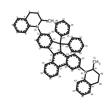 CC1CCc2ccccc2N1c1ccc2c(c1)C(c1ccccc1)(c1ccccc1)c1c-2c2ccccc2c2cc(N3c4ccccc4CCC3C)ccc12